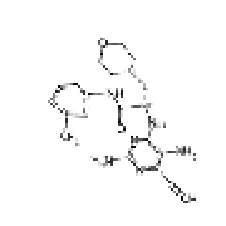 C#Cc1nc(N)nc(N[C@@H](CN2CCOCC2)C(=O)Nc2cccc(C(F)(F)F)c2)c1N